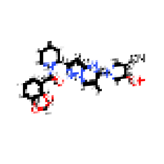 Cc1cn2nc([C@@H]3CCCCN3C(=O)c3cccc4c3OCO4)cc2nc1N1C[C@@H](C#N)[C@@H](O)C1